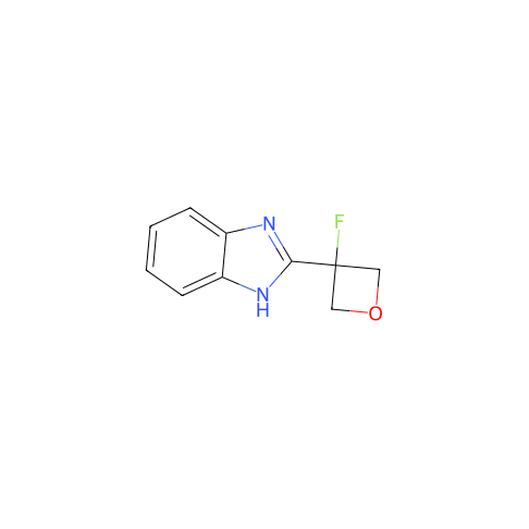 FC1(c2nc3ccccc3[nH]2)COC1